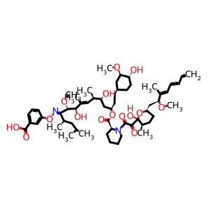 C=C/C=C/C=C(\C)[C@H](C[C@@H]1CC[C@@H](C)[C@](O)(C(=O)C(=O)N2CCCC[C@H]2C(=O)O[C@H](CC[C@@H]2CC[C@@H](O)[C@H](OC)C2)C[C@@H](O)[C@H](C)/C=C(\C)[C@@H](O)[C@@H](OC)/C(=N/Oc2cccc(C(=O)O)c2)[C@H](C)CC(C)C)O1)OC